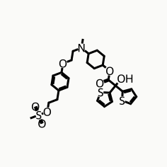 CN(CCOc1ccc(CCOS(C)(=O)=O)cc1)C1CCC(OC(=O)C(O)(c2cccs2)c2cccs2)CC1